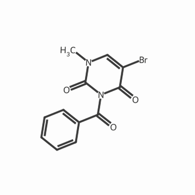 Cn1cc(Br)c(=O)n(C(=O)c2ccccc2)c1=O